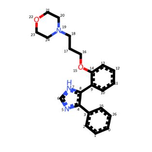 c1ccc(-c2nc[nH]c2-c2ccccc2OCCCN2CCOCC2)cc1